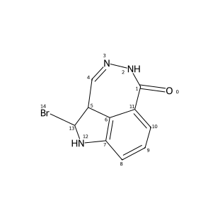 O=C1NN=CC2c3c(cccc31)NC2Br